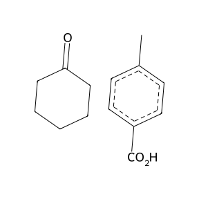 Cc1ccc(C(=O)O)cc1.O=C1CCCCC1